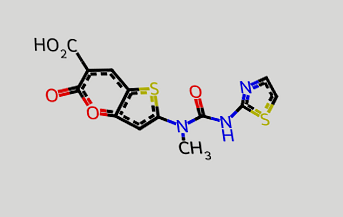 CN(C(=O)Nc1nccs1)c1cc2oc(=O)c(C(=O)O)cc2s1